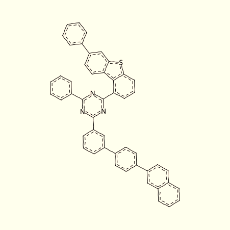 c1ccc(-c2ccc3c(c2)sc2cccc(-c4nc(-c5ccccc5)nc(-c5cccc(-c6ccc(-c7ccc8ccccc8c7)cc6)c5)n4)c23)cc1